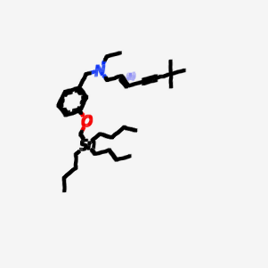 CCC[CH2][Sn]([CH2]CCC)([CH2]CCC)[CH2]Oc1cccc(CN(CC)C/C=C/C#CC(C)(C)C)c1